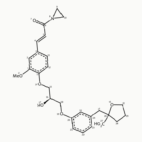 COc1cc(/C=C/C(=O)N2CC2)ccc1OC[C@H](O)COc1cccc(CC2(C(=O)O)CCCO2)c1